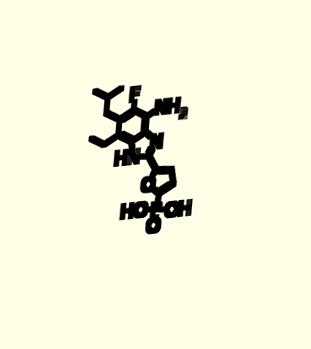 CCc1c(CC(C)C)c(F)c(N)c2nc(-c3ccc(P(=O)(O)O)o3)[nH]c12